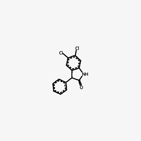 O=C1Nc2cc(Cl)c(Cl)cc2C1c1ccccc1